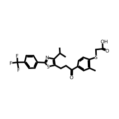 Cc1cc(C(=O)CCc2sc(-c3ccc(C(F)(F)F)cc3)nc2C(C)C)ccc1SCC(=O)O